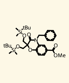 COC(=O)c1ccc2c(c1)N(Cc1ccccc1)C(=O)C(CO[Si](C)(C)C(C)(C)C)(CO[Si](C)(C)C(C)(C)C)O2